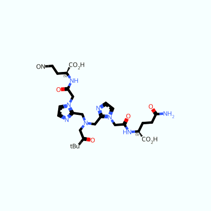 CC(C)(C)C(=O)CN(Cc1nccn1CC(=O)N[C@@H](CCN=O)C(=O)O)Cc1nccn1CC(=O)N[C@@H](CCC(N)=O)C(=O)O